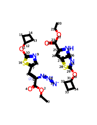 CCOC(=O)/C(=C/c1cnc(OC2CCC2)s1)N=[N+]=[N-].CCOC(=O)c1cc2sc(OC3CCC3)nc2[nH]1